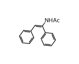 CC(=O)NC(=Cc1ccccc1)c1ccccc1